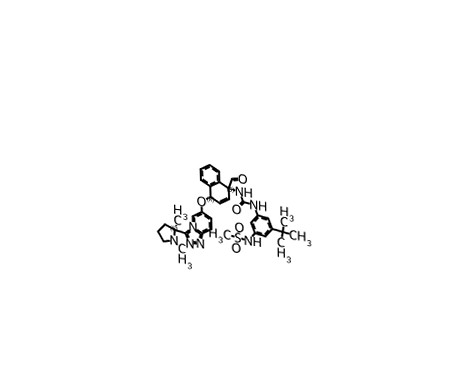 CN1CCC[C@@]1(C)c1nnc2ccc(O[C@@H]3C=C[C@](C=O)(NC(=O)Nc4cc(NS(C)(=O)=O)cc(C(C)(C)C)c4)c4ccccc43)cn12